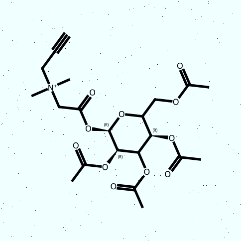 C#CC[N+](C)(C)CC(=O)O[C@H]1OC(COC(C)=O)[C@@H](OC(C)=O)C(OC(C)=O)[C@H]1OC(C)=O